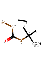 CC.CC(C)(SC(=O)SS)C(=O)O